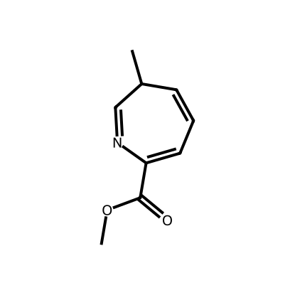 COC(=O)C1=CC=CC(C)C=N1